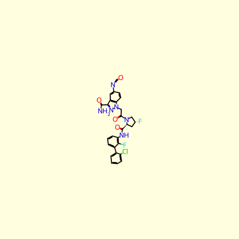 NC(=O)c1nn(CC(=O)N2C[C@H](F)C[C@H]2C(=O)Nc2cccc(-c3ccccc3Cl)c2F)c2ccc(N=C=O)cc12